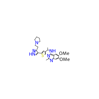 COc1cc2nc(C)nc(NC(C)c3csc(-c4c[nH]nc4CCN4CCCC4)c3)c2cc1OC